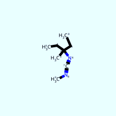 CCC(C)(CC)N=C=NC